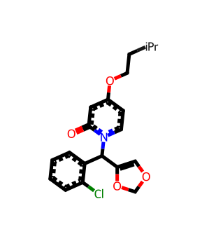 CC(C)CCOc1ccn(C(C2=COCO2)c2ccccc2Cl)c(=O)c1